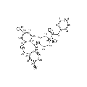 O=C(Cc1ccncc1)[N+]1([O-])CCC(=C2c3ccc(Cl)cc3OCc3cc(Br)cnc32)CC1